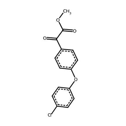 COC(=O)C(=O)c1ccc(Oc2ccc(Cl)cc2)cc1